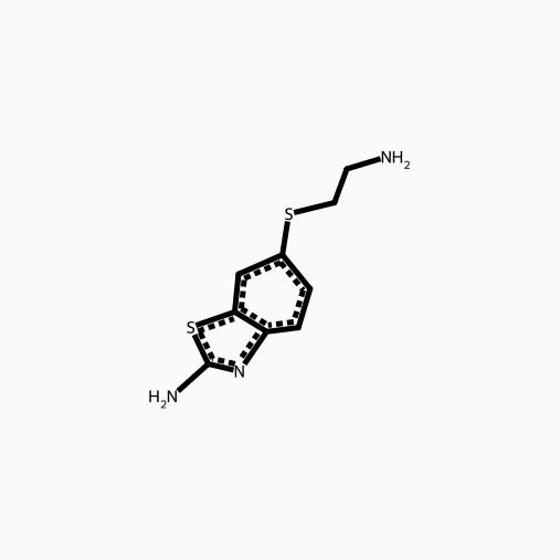 NCCSc1ccc2nc(N)sc2c1